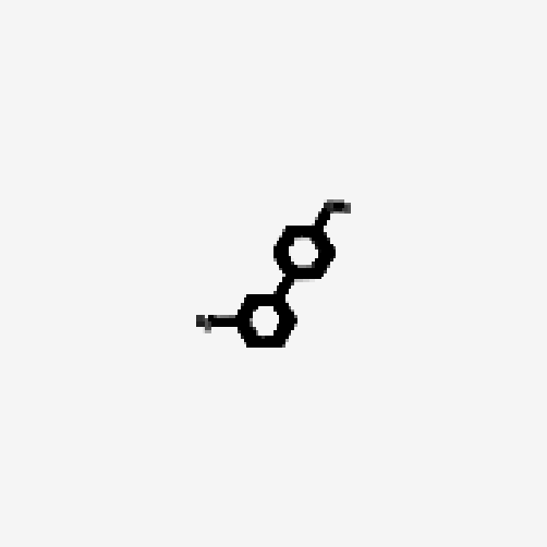 COc1ccc(-c2[c]c([N+](=O)[O-])ccc2)cc1